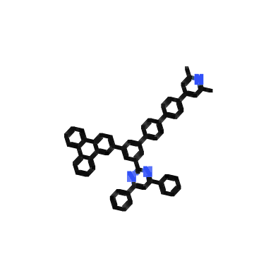 Cc1cc(-c2ccc(-c3ccc(-c4cc(-c5ccc6c7ccccc7c7ccccc7c6c5)cc(-c5nc(-c6ccccc6)cc(-c6ccccc6)n5)c4)cc3)cc2)cc(C)n1